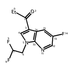 CCC(=O)c1cn(CC(F)F)c2ncc(F)cc12